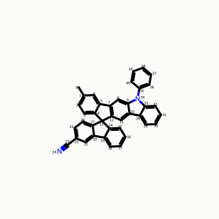 Cc1ccc2c(c1)-c1cc3c(cc1C21c2ccccc2-c2cc(C#N)ccc21)c1ccccc1n3-c1ccccc1